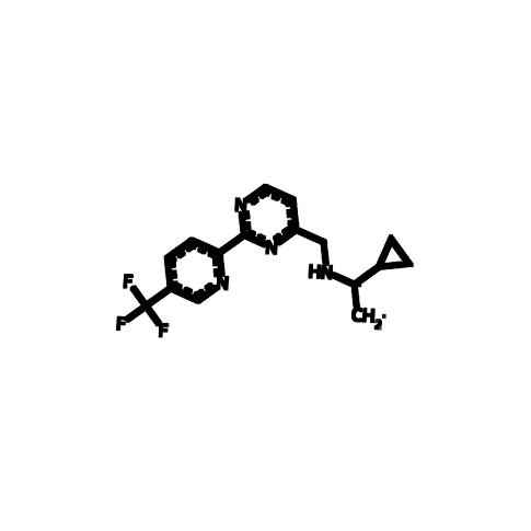 [CH2][C](NCc1ccnc(-c2ccc(C(F)(F)F)cn2)n1)C1CC1